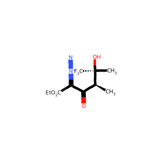 CCOC(=O)C(=[N+]=[N-])C(=O)[C@H](C)[C@](C)(O)C(F)(F)F